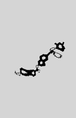 CC(=O)Oc1ccc2cc(C(=O)Oc3ccc4cc(C(=O)Oc5ccc(C)cc5C)ccc4c3)ccc2c1